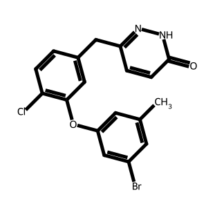 Cc1cc(Br)cc(Oc2cc(Cc3ccc(=O)[nH]n3)ccc2Cl)c1